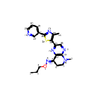 CCCO/N=C1\CCN(C)c2ncc(-c3sc(-c4cccnc4)nc3C)nc21